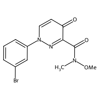 CON(C)C(=O)c1nn(-c2cccc(Br)c2)ccc1=O